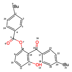 CC(C)(C)c1ccc(C(=O)Oc2cccc(O)c2C(=O)c2ccc(C(C)(C)C)cc2)cc1